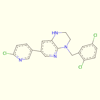 Clc1ccc(Cl)c(CN2CCNc3cc(-c4ccc(Cl)nc4)cnc32)c1